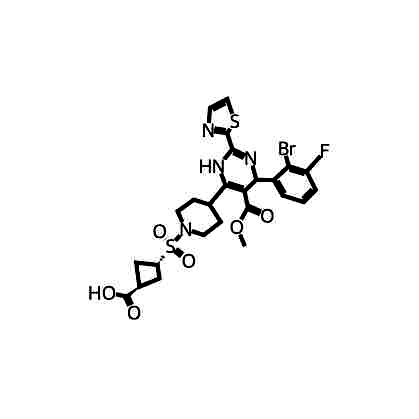 COC(=O)C1=C(C2CCN(S(=O)(=O)[C@H]3C[C@H](C(=O)O)C3)CC2)NC(c2nccs2)=NC1c1cccc(F)c1Br